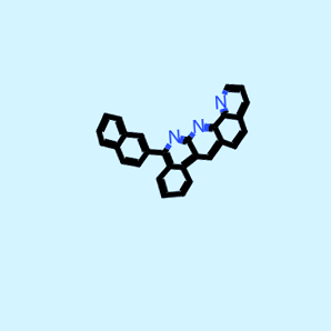 c1ccc2cc(-c3nc4nc5c(ccc6cccnc65)cc4c4ccccc34)ccc2c1